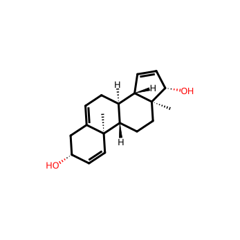 C[C@]12CC[C@H]3[C@@H](CC=C4C[C@@H](O)C=C[C@@]43C)[C@@H]1C=C[C@@H]2O